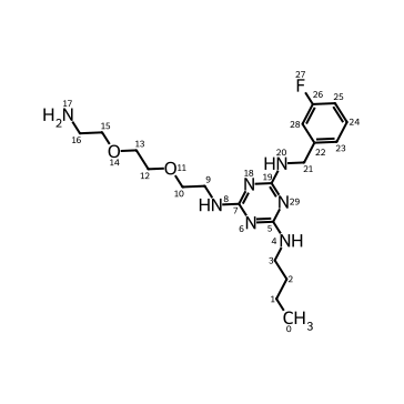 CCCCNc1nc(NCCOCCOCCN)nc(NCc2cccc(F)c2)n1